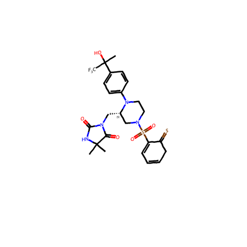 CC1(C)NC(=O)N(C[C@H]2CN(S(=O)(=O)C3=CC=CCC3=S)CCN2c2ccc(C(C)(O)C(F)(F)F)cc2)C1=O